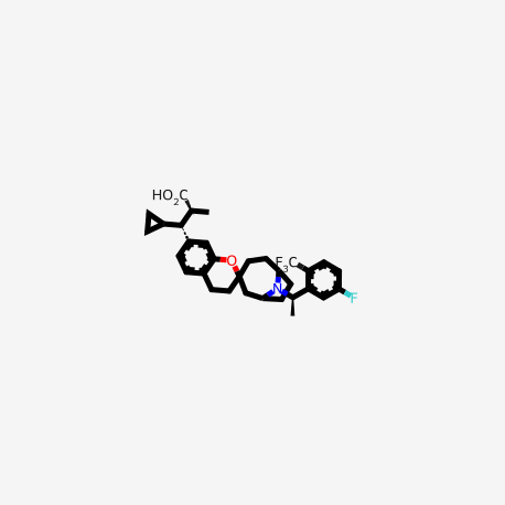 C[C@H](C(=O)O)[C@H](c1ccc2c(c1)OC1(CC2)CCC2CCC(C1)N2[C@H](C)c1cc(F)ccc1C(F)(F)F)C1CC1